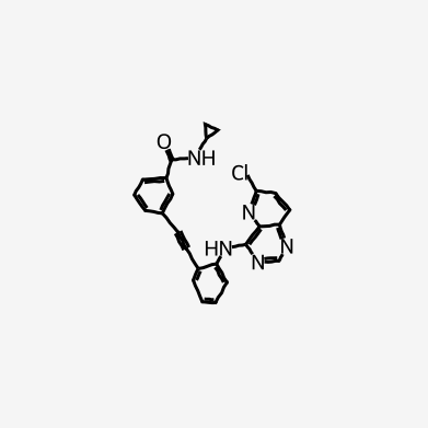 O=C(NC1CC1)c1cccc(C#Cc2ccccc2Nc2ncnc3ccc(Cl)nc23)c1